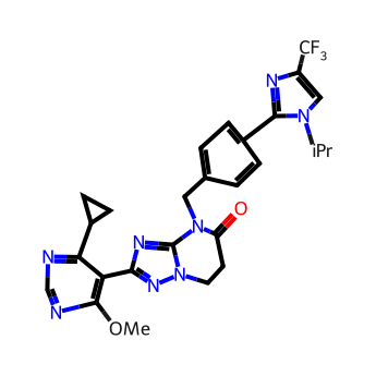 COc1ncnc(C2CC2)c1-c1nc2n(n1)CCC(=O)N2Cc1ccc(-c2nc(C(F)(F)F)cn2C(C)C)cc1